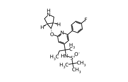 CCC(C)(N[S+]([O-])C(C)(C)C)c1cc(O[C@@H]2[C@@H]3CNC[C@@H]32)nc(-c2ccc(F)cc2)c1